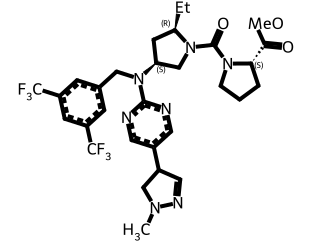 CC[C@@H]1C[C@H](N(Cc2cc(C(F)(F)F)cc(C(F)(F)F)c2)c2ncc(C3C=NN(C)C3)cn2)CN1C(=O)N1CCC[C@H]1C(=O)OC